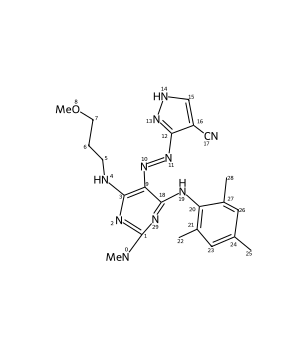 CNc1nc(NCCCOC)c(N=Nc2n[nH]cc2C#N)c(Nc2c(C)cc(C)cc2C)n1